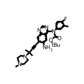 Cc1cc(N(C(=O)OC(C)(C)C)c2ncnc3cc(C#CC(C)(C)N4CCN(C)CC4)c(N)cc23)ccc1F